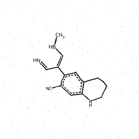 CB/C=C(\C=N)c1cc2c(cc1C#N)NCCC2